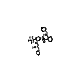 O=C(Nc1ccc(C(F)(F)C(F)(F)F)c(OC[C@@H](O)CN2CCCC2)c1)c1cccnc1NCc1ccncc1